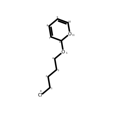 ClCCCCOC1C=CC=CO1